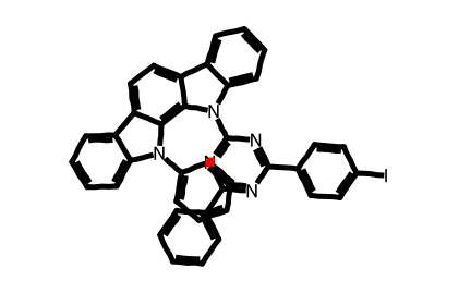 Ic1ccc(-c2nc(-c3ccccc3)nc(-n3c4ccccc4c4ccc5c6ccccc6n(-c6ccccc6)c5c43)n2)cc1